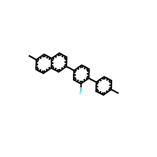 Cc1ccc(-c2ccc(-c3ccc4cc(C)ccc4c3)cc2F)cc1